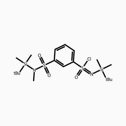 CN([Si](C)(C)C(C)(C)C)S(=O)(=O)c1cccc(S(=O)(Cl)=N[Si](C)(C)C(C)(C)C)c1